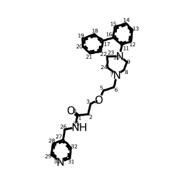 O=C(CCOCCN1CCN(c2ccccc2-c2ccccc2)CC1)NCc1ccncc1